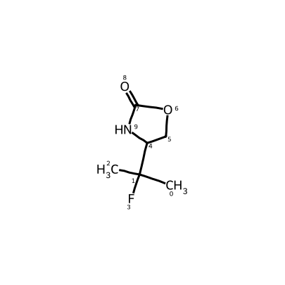 CC(C)(F)C1COC(=O)N1